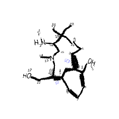 CC/C=c1\c(O)ccc\c1=C(/CO)N(C)CC(N)C(C)(C)C